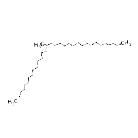 CCCCCCCCCCCCCCCCCC(C)CCCCCCCCCCCCCC